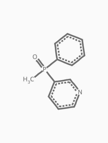 CP(=O)(c1ccccc1)c1cccnc1